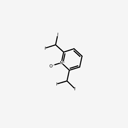 [O-][n+]1c(C(I)I)cccc1C(I)I